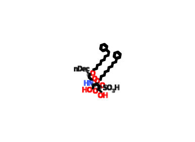 CCCCCCCCCCC[C@@H](CC(=O)N[C@H]1C(O)O[C@H](CO)[C@@H](OS(=O)(=O)O)[C@@H]1OCCCCCCCCCc1ccccc1)OCCCCCCCCCc1ccccc1